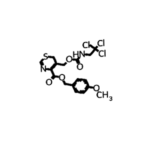 COc1ccc(COC(=O)C2=C(COC(=O)NCC(Cl)(Cl)Cl)CSC=N2)cc1